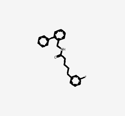 O=C(CCCCc1cccc(F)c1)NCc1ccccc1-c1ccccc1